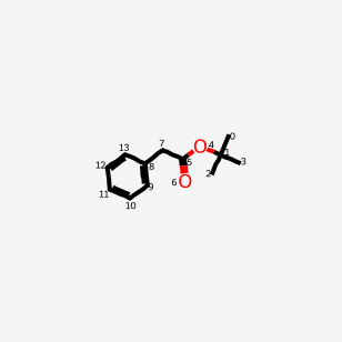 CC(C)(C)OC(=O)Cc1ccccc1